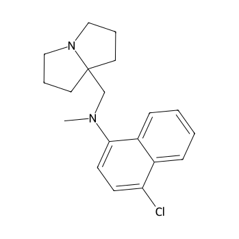 CN(CC12CCCN1CCC2)c1ccc(Cl)c2ccccc12